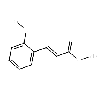 CCCCOC(=O)/C=C/c1ccccc1OC(C)(C)C